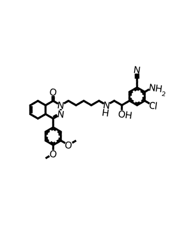 COc1ccc(C2=NN(CCCCCNCC(O)c3cc(Cl)c(N)c(C#N)c3)C(=O)C3CC=CCC23)cc1OC